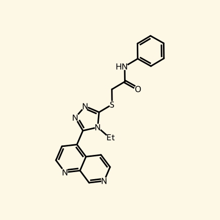 CCn1c(SCC(=O)Nc2ccccc2)nnc1-c1ccnc2cnccc12